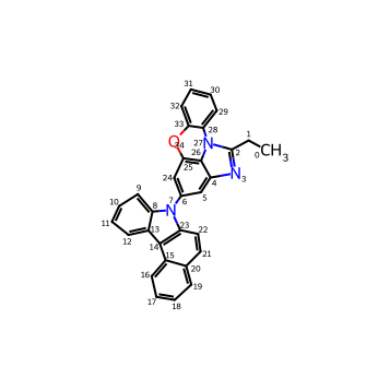 CCc1nc2cc(-n3c4ccccc4c4c5ccccc5ccc43)cc3c2n1-c1ccccc1O3